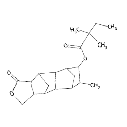 CCC(C)(C)C(=O)OC1C(C)C2CC1C1C3CC(C4COC(=O)C43)C21